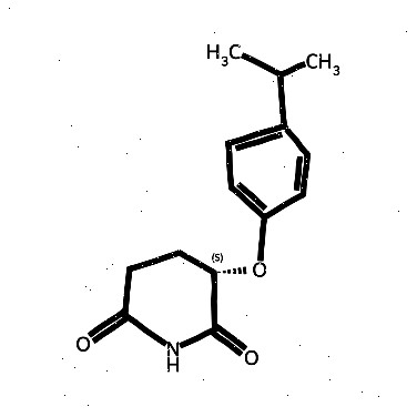 CC(C)c1ccc(O[C@H]2CCC(=O)NC2=O)cc1